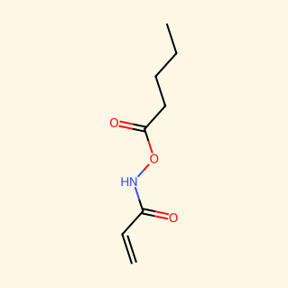 C=CC(=O)NOC(=O)CCCC